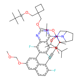 COCOc1cc(-c2c(F)c(OC)c3c(N4CC5CCC(C4)N5C(=O)OC(C)(C)C)nc(OCC4(CO[Si](C)(C)C(C)(C)C)CCC4)nc3c2F)c2c(C#C[Si](C(C)C)(C(C)C)C(C)C)c(F)ccc2c1